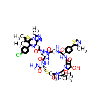 Cc1ncsc1-c1ccc([C@@H]2NC(=O)[C@@H]3C[C@@H](O)CN3C(=O)[C@H](C(C)(C)C)NC(=O)CSC[C@H](C(N)=O)NC(=O)[C@H](CNC(=O)C[C@@H]3N=C(c4ccc(Cl)cc4)c4c(sc(C)c4C)-n4c(C)nnc43)NC(=O)CNC2=O)cc1